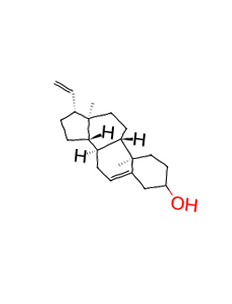 C=C[C@H]1CC[C@H]2[C@@H]3CC=C4CC(O)CC[C@]4(C)[C@H]3CC[C@]12C